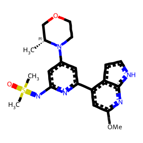 COc1cc(-c2cc(N3CCOC[C@H]3C)cc(N=S(C)(C)=O)n2)c2cc[nH]c2n1